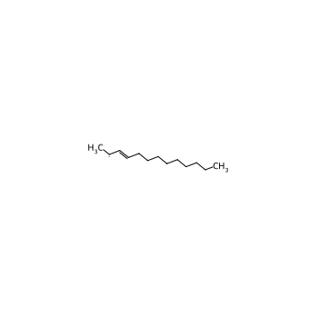 C[CH]/C=C/CCCCCCCCC